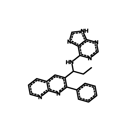 CCC(Nc1ncnc2[nH]cnc12)c1cc2cccnc2nc1-c1ccccc1